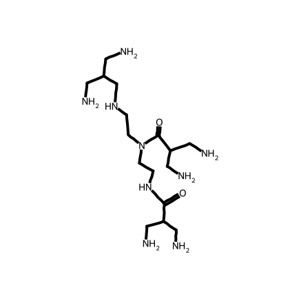 NCC(CN)CNCCN(CCNC(=O)C(CN)CN)C(=O)C(CN)CN